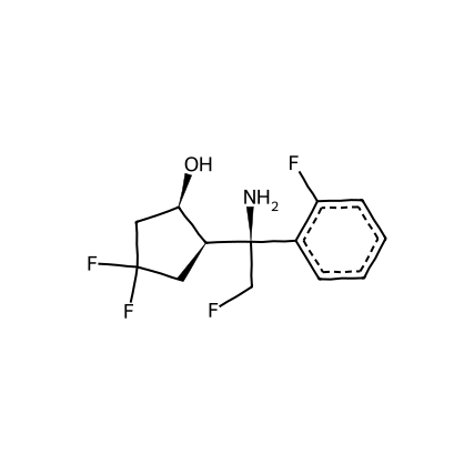 N[C@](CF)(c1ccccc1F)[C@H]1CC(F)(F)C[C@H]1O